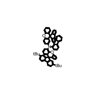 CC(C)(C)c1ccc2c(c1)C1(c3ccccc3Oc3c(N(c4ccc5c(c4)C4(c6ccccc6O5)c5ccccc5-c5ccccc54)c4cccc5c4oc4ccccc45)cccc31)c1cc(C(C)(C)C)ccc1-2